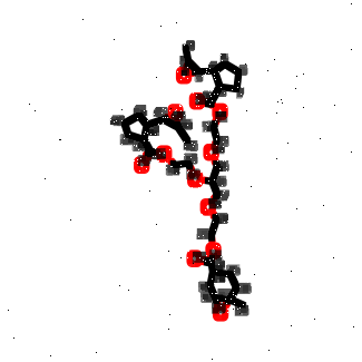 CC1OC1C1CCCC1C(=O)OCCOCC(COCCOC(=O)C1CCC2(C)OC2C1)OCCOC(=O)C1CCCC1C1OC1C